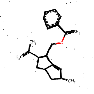 C=C(OCC1C2=CC(C)CC2CC1C(=C)C)c1ccccc1